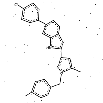 Cc1ccc(Cn2nc(-c3nc4ccc(-c5ccc(Cl)cc5)cc4[nH]3)cc2C)cc1